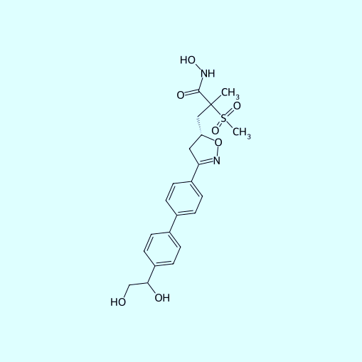 CC(C[C@H]1CC(c2ccc(-c3ccc(C(O)CO)cc3)cc2)=NO1)(C(=O)NO)S(C)(=O)=O